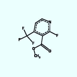 COC(=O)c1c(C(F)(F)F)ccnc1F